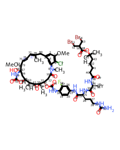 COc1cc2cc(c1Cl)N(C)C(=O)C[C@H](OC(=O)Nc1ccc(NC(=O)[C@H](CCCNC(N)=O)NC(=O)[C@@H](NC(=O)CCCCC(C)(C)OC(=O)C(CBr)CBr)C(C)C)cc1F)[C@]1(C)O[C@H]1[C@H](C)[C@@H]1C[C@@](O)(NC(=O)O1)[C@H](OC)/C=C/C=C(\C)C2